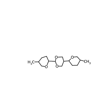 CC1CCC(C2COC(C3CCC(C)CO3)OC2)OC1